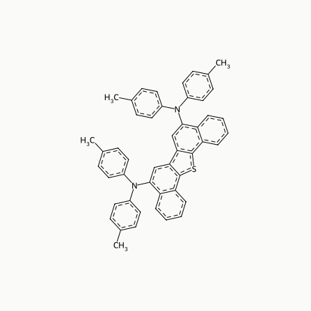 Cc1ccc(N(c2ccc(C)cc2)c2cc3c4cc(N(c5ccc(C)cc5)c5ccc(C)cc5)c5ccccc5c4sc3c3ccccc23)cc1